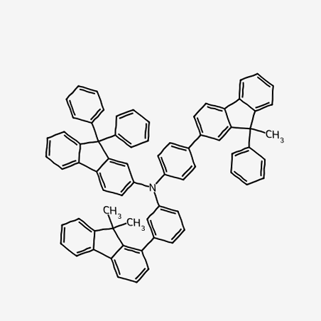 CC1(C)c2ccccc2-c2cccc(-c3cccc(N(c4ccc(-c5ccc6c(c5)C(C)(c5ccccc5)c5ccccc5-6)cc4)c4ccc5c(c4)C(c4ccccc4)(c4ccccc4)c4ccccc4-5)c3)c21